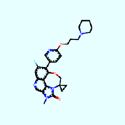 Cn1c(=O)n2c3c4c(c(-c5ccc(OCCCN6CCCCC6)nc5)c(F)cc4ncc31)OCC21CC1